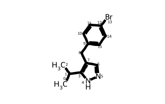 CC(C)c1[nH]ncc1Cc1ccc(Br)cc1